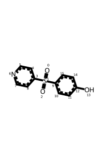 O=S(=O)(c1ccncc1)c1ccc(O)cc1